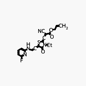 C=CCOC(=O)C(=C=c1sc(=C=CNc2cccc(F)n2)c(=O)n1CC)C#N